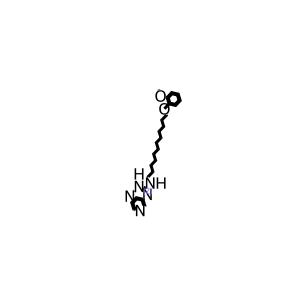 COc1ccccc1OCCCCCCCCCCCCN/C(=N/c1cccnc1)NC#N